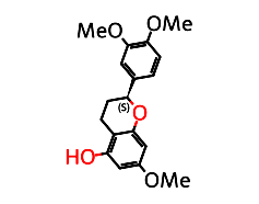 COc1cc(O)c2c(c1)O[C@H](c1ccc(OC)c(OC)c1)CC2